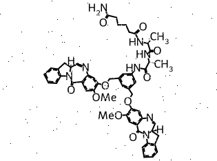 COc1cc2c(cc1OCc1cc(COc3cc4c(cc3OC)C(=O)N3c5ccccc5C[C@H]3C=N4)cc(NC(=O)[C@@H](C)NC(=O)[C@H](C)NC(=O)CCCCC(N)=O)c1)N=C[C@@H]1Cc3ccccc3N1C2=O